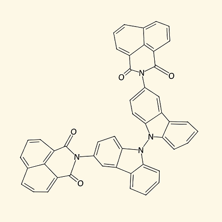 O=C1c2cccc3cccc(c23)C(=O)N1c1ccc2c(c1)c1ccccc1n2-n1c2ccccc2c2cc(N3C(=O)c4cccc5cccc(c45)C3=O)ccc21